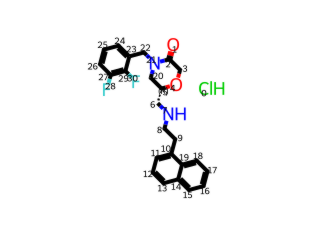 Cl.O=C1CO[C@H](CNCCc2cccc3ccccc23)CN1Cc1cccc(F)c1F